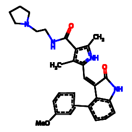 COc1cccc(-c2cccc3c2C(=Cc2[nH]c(C)c(C(=O)NCCN4CCCC4)c2C)C(=O)N3)c1